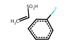 C=CS(=O)(=O)O.Fc1ccccc1